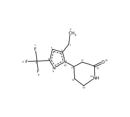 CCc1cc(C(F)(F)F)nn1C1CCNC(=O)C1